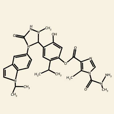 Cc1c(C(=O)Oc2cc(O)c(C3N(C)NC(=O)N3c3ccc4c(ccn4C(C)C)c3)cc2C(C)C)ncn1C(=O)N(C)N